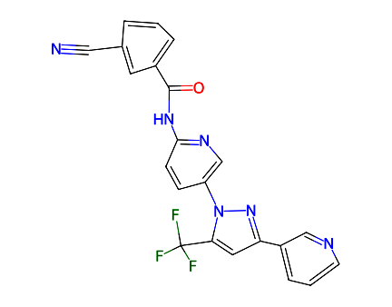 N#Cc1cccc(C(=O)Nc2ccc(-n3nc(-c4cccnc4)cc3C(F)(F)F)cn2)c1